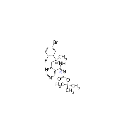 CC(C)(C)OC(=O)/N=C1/N[C@](C)(c2cc(Br)ccc2F)Cc2ncncc21